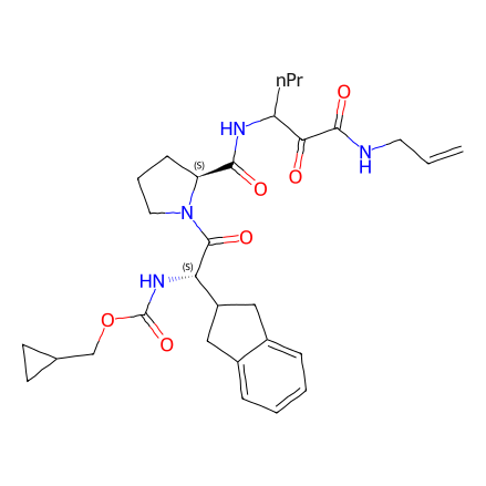 C=CCNC(=O)C(=O)C(CCC)NC(=O)[C@@H]1CCCN1C(=O)[C@@H](NC(=O)OCC1CC1)C1Cc2ccccc2C1